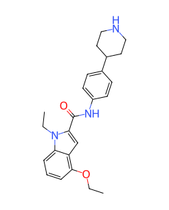 CCOc1cccc2c1cc(C(=O)Nc1ccc(C3CCNCC3)cc1)n2CC